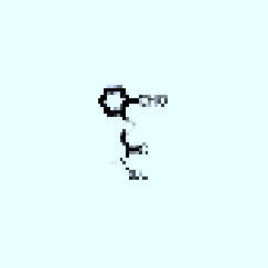 CC(C)(C)NC(=O)COc1ccccc1C=O